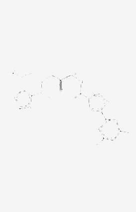 C[C@H](NC(=O)c1cnc(-c2cc(Cl)cc(Cl)c2)o1)C(=O)N[C@@H](CCC(F)(F)F)C(O)c1nccs1